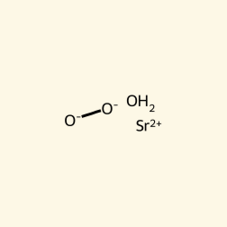 O.[O-][O-].[Sr+2]